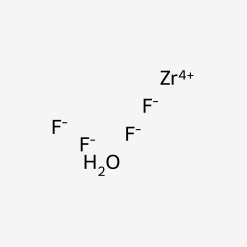 O.[F-].[F-].[F-].[F-].[Zr+4]